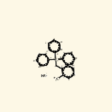 Br.FC(F)(F)c1ccccc1C[P+](c1ccccc1)(c1ccccc1)c1ccccc1